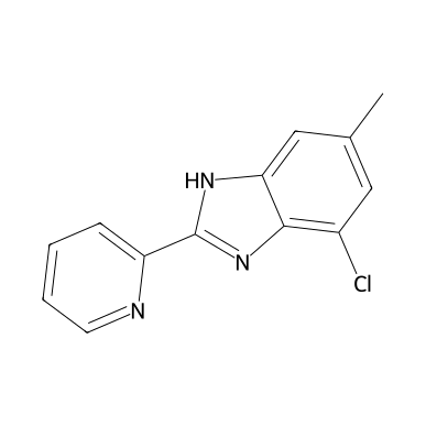 Cc1cc(Cl)c2nc(-c3ccccn3)[nH]c2c1